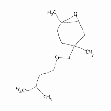 CC(C)CCOCC1(C)CCC2(C)OC2C1